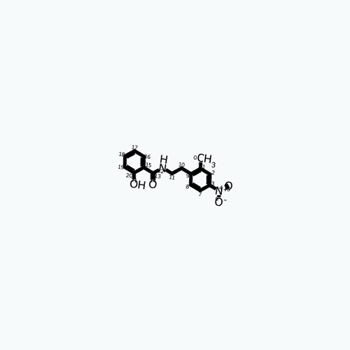 Cc1cc([N+](=O)[O-])ccc1CCNC(=O)c1ccccc1O